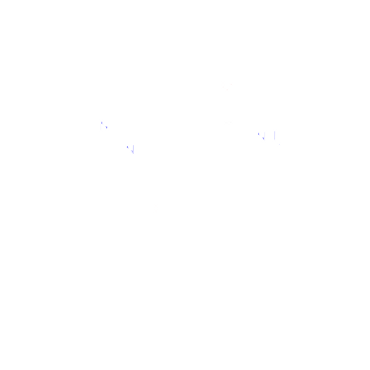 NC(=O)Cc1ccnn1C1CCCCO1